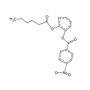 CCCCCC(=O)Oc1ccccc1OC(=O)c1ccc([N+](=O)[O-])cc1